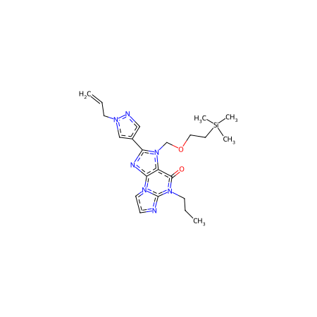 C=CCn1cc(-c2nc3c(c(=O)n(CCC)c4nccn34)n2COCC[Si](C)(C)C)cn1